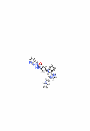 O=C(NCc1cccnc1)Nc1ccc(-n2cc(-c3nccn3CCCN3CCCC3)c3ccccc32)cc1